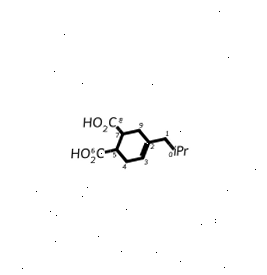 CC(C)CC1=CCC(C(=O)O)C(C(=O)O)C1